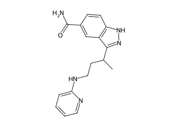 CC(CCNc1ccccn1)c1n[nH]c2ccc(C(N)=O)cc12